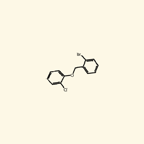 Clc1c[c]ccc1OCc1ccccc1Br